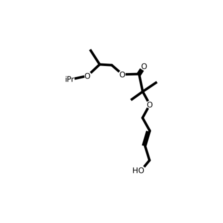 CC(C)OC(C)COC(=O)C(C)(C)OC/C=C/CO